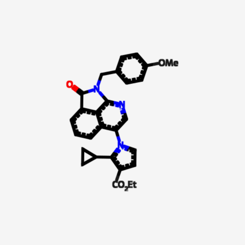 CCOC(=O)c1ccn(-c2cnc3c4c(cccc24)C(=O)N3Cc2ccc(OC)cc2)c1C1CC1